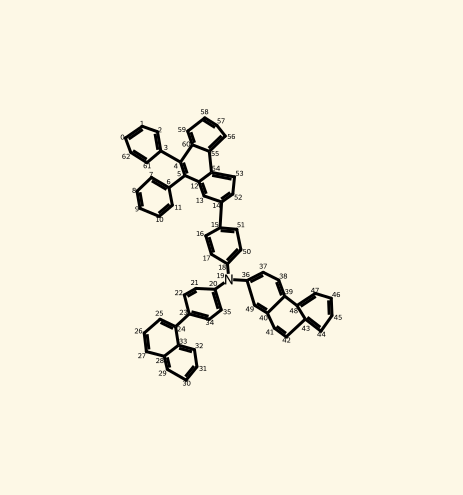 c1ccc(-c2c(-c3ccccc3)c3cc(-c4ccc(N(c5ccc(-c6cccc7ccccc67)cc5)c5ccc6c(ccc7ccccc76)c5)cc4)ccc3c3ccccc23)cc1